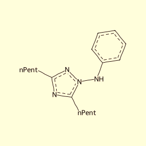 CCCCCc1nc(CCCCC)n(Nc2ccccc2)n1